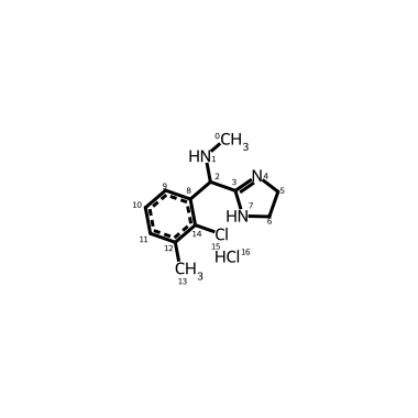 CNC(C1=NCCN1)c1cccc(C)c1Cl.Cl